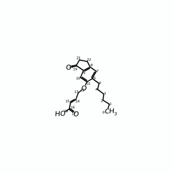 CCCCCCc1cc2c(cc1OC/C=C/C(=O)O)C(=O)CC2